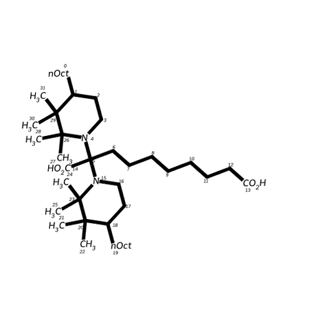 CCCCCCCCC1CCN(C(CCCCCCCC(=O)O)(C(=O)O)N2CCC(CCCCCCCC)C(C)(C)C2(C)C)C(C)(C)C1(C)C